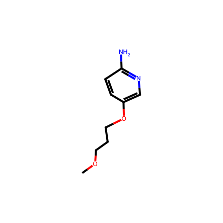 COCCCOc1ccc(N)nc1